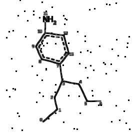 CCCC(CCC)c1ccc(N)cc1